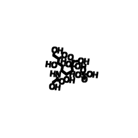 O=C(CO)N[C@H]1[C@H]([C@H](O)[C@H](O)CO)O[C@](O)(C(=O)O)C[C@@H]1O.O=S(=O)(O)O